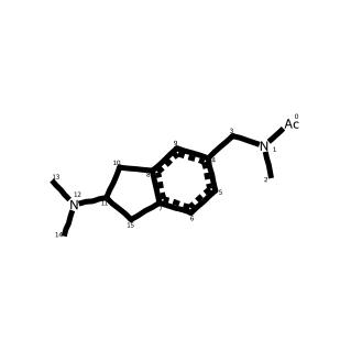 CC(=O)N(C)Cc1ccc2c(c1)CC(N(C)C)C2